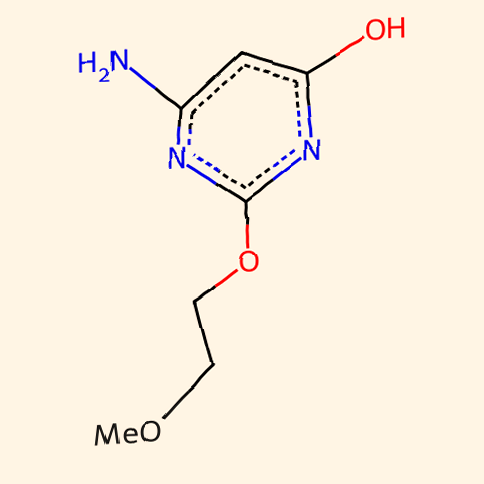 COCCOc1nc(N)cc(O)n1